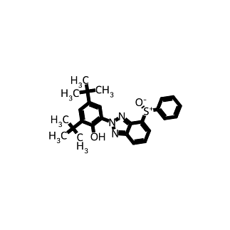 CC(C)(C)c1cc(-n2nc3cccc([S+]([O-])c4ccccc4)c3n2)c(O)c(C(C)(C)C)c1